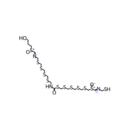 O=C(NCSCSCSCSC/N=C/[S+]([O-])CCCO)SCSCSCSCSC[S+]([O-])/C=N/CS